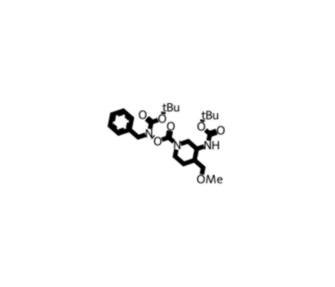 COCC1CCN(C(=O)ON(Cc2ccccc2)C(=O)OC(C)(C)C)CC1NC(=O)OC(C)(C)C